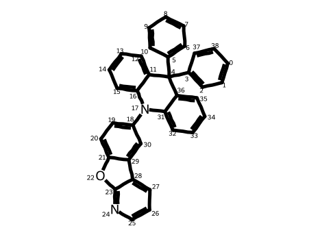 c1ccc(C2(c3ccccc3)c3ccccc3N(c3ccc4oc5ncccc5c4c3)c3ccccc32)cc1